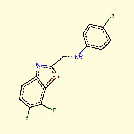 Fc1ccc2nc(CNc3ccc(Cl)cc3)sc2c1F